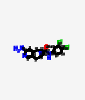 Nc1cc2c(cn1)CC1CCC2N1C(=O)Nc1ccc(Cl)c(Cl)c1